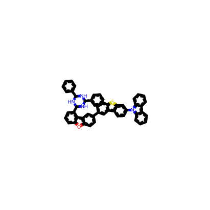 c1ccc(C2NC(c3ccccc3)NC(c3cccc4oc5ccc(-c6ccc7sc8cc(-n9c%10ccccc%10c%10ccccc%109)ccc8c7c6)cc5c34)N2)cc1